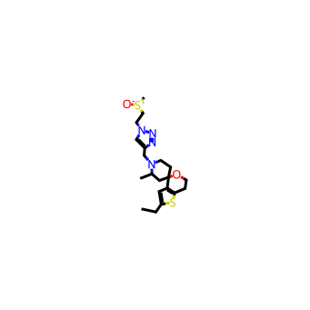 CCc1cc2c(s1)CCOC21CCN(Cc2cn(CC[S+](C)[O-])nn2)C(C)C1